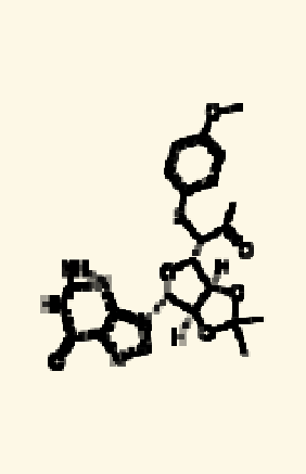 COc1ccc(SC(C(C)=O)[C@H]2O[C@@H](n3cnc4c(=O)[nH]c(N)nc43)[C@@H]3OC(C)(C)O[C@@H]32)cc1